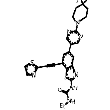 CCNC(=O)Nc1nc2cc(-c3cnc(N4CCC(C)(C(=O)O)CC4)nc3)cc(C#Cc3nccs3)c2s1